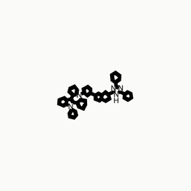 C1=CC(C2N=C(c3ccccc3)N=C(c3ccc4ccc(-c5cccc(N6c7ccccc7-c7c(n(-c8ccccc8)c8ccccc78)-c7ccccc76)c5)cc4c3)N2)=CCC1